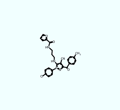 Cc1ccc(C(=O)c2nn(-c3ccc(Cl)cc3)c(NCCCNC(=O)c3ccco3)c2C#N)cc1